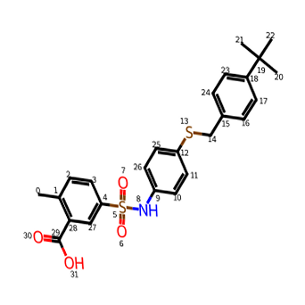 Cc1ccc(S(=O)(=O)Nc2ccc(SCc3ccc(C(C)(C)C)cc3)cc2)cc1C(=O)O